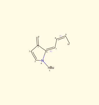 C=c1ccn(CCCC)/c1=C/C=C\C